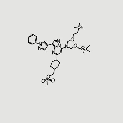 C[Si](C)(C)CCOCN(COCC[Si](C)(C)C)c1cc([C@H]2CC[C@H](COS(C)(=O)=O)CC2)nc2c(-c3cnn(-c4ccccc4)c3)cnn12